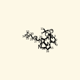 C[C@@H]1CCN(C(=O)OC(C)(C)C)C[C@@H]1n1ccc2cnc3c(c(C#N)cn3COCC[Si](C)(C)C)c21